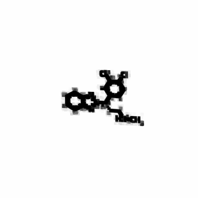 CNCC[C@@H](c1ccc(Cl)c(Cl)c1)n1nc2ccccc2n1